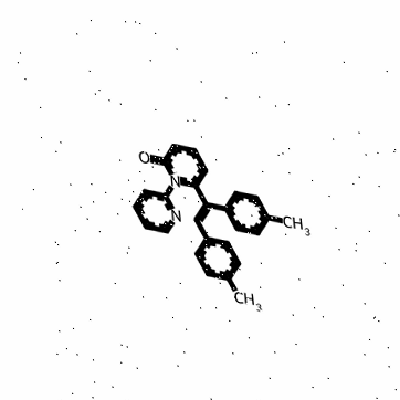 Cc1ccc(/C=C(\c2ccc(C)cc2)c2cccc(=O)n2-c2ccccn2)cc1